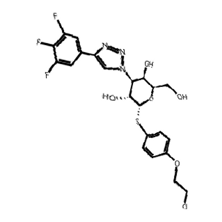 OC[C@H]1O[C@H](Sc2ccc(OCCCl)cc2)[C@H](O)[C@@H](n2cc(-c3cc(F)c(F)c(F)c3)nn2)[C@H]1O